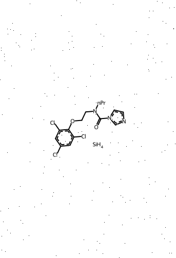 CCCN(CCOc1c(Cl)cc(Cl)cc1Cl)C(=O)n1ccnc1.[SiH4]